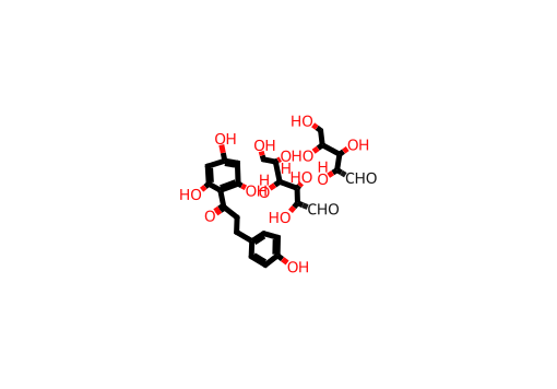 O=C(CCc1ccc(O)cc1)c1c(O)cc(O)cc1O.O=CC(O)C(O)C(O)C(O)CO.O=CC(O)C(O)C(O)CO